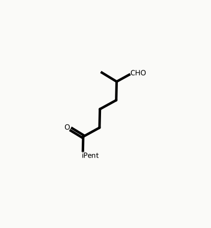 CCCC(C)C(=O)CCCC(C)C=O